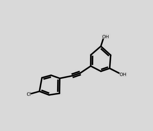 Oc1cc(O)cc(C#Cc2ccc(Cl)cc2)c1